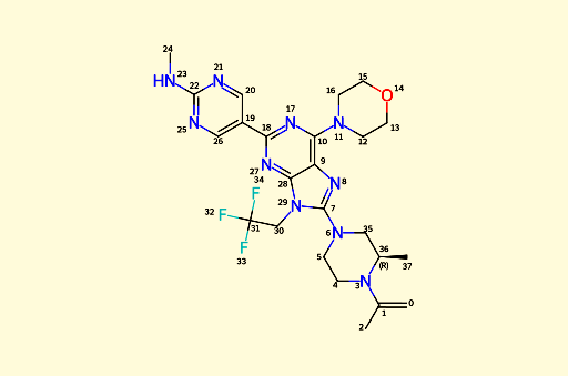 C=C(C)N1CCN(c2nc3c(N4CCOCC4)nc(-c4cnc(NC)nc4)nc3n2CC(F)(F)F)C[C@H]1C